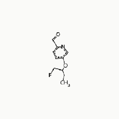 CCC(CF)Oc1ccc(C=O)nc1